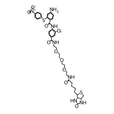 COc1cc(C(=O)NCCOCCOCCOCCNC(=O)CCCCC2SCC3NC(=O)NC32)ccc1NC(=O)c1ccc(N)cc1Sc1ccc([N+](=O)[O-])cc1